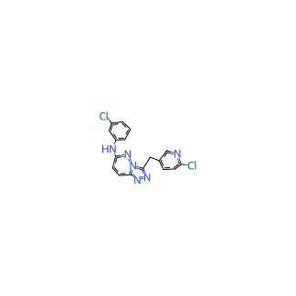 Clc1cccc(Nc2ccc3nnc(Cc4ccc(Cl)nc4)n3n2)c1